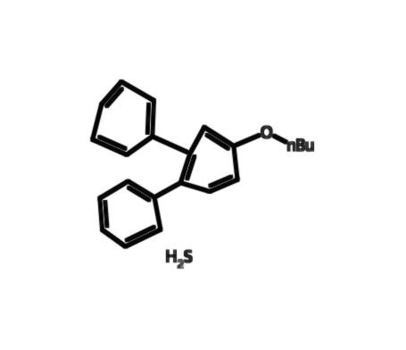 CCCCOc1ccc(-c2ccccc2)c(-c2ccccc2)c1.S